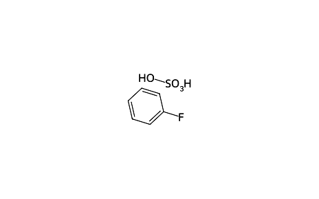 Fc1ccccc1.O=S(=O)(O)O